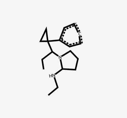 CCNC1CCCN1C(CC)C1(c2ccccc2)CC1